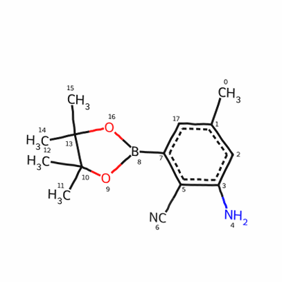 Cc1cc(N)c(C#N)c(B2OC(C)(C)C(C)(C)O2)c1